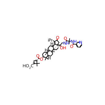 CC(C)C1=C2[C@H]3CC[C@@H]4[C@@]5(C)CC[C@H](OC(=O)[C@H]6C[C@@H](C(=O)O)C6(C)C)C(C)(C)[C@@H]5CC[C@@]4(C)[C@]3(C)CC[C@@]2([C@@H](O)CNC(=O)C(C)(C)NC(=O)c2cccnc2)CC1=O